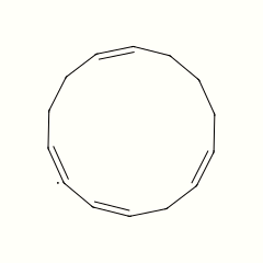 [C]1=CCCC=CCCCC=CCC=C1